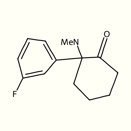 CNC1(c2cccc(F)c2)CCCCC1=O